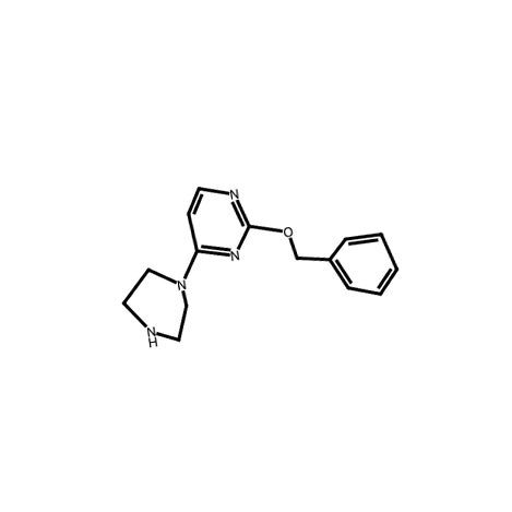 c1ccc(COc2nccc(N3CCNCC3)n2)cc1